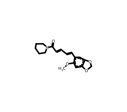 COc1cc2c(cc1/C=C/C=C/C(=O)N1CCCCC1)OCO2